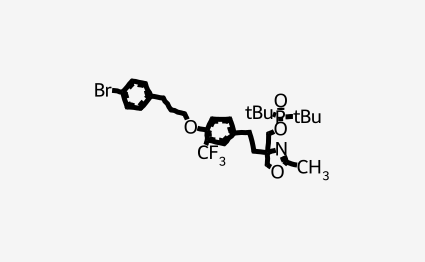 CC1=NC(CCc2ccc(OCCCc3ccc(Br)cc3)c(C(F)(F)F)c2)(COP(=O)(C(C)(C)C)C(C)(C)C)CO1